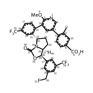 COc1ncc(-c2ccc(C(=O)O)cc2C)cc1-c1ccc(C(F)(F)F)cc1[C@@H]1CC[C@H]2[C@@H](c3cc(CF)cc(C(F)(F)F)c3)OC(=O)N12